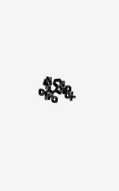 CN1C(=O)C(c2cn(C(=O)OC(C)(C)C)c3ncccc23)=C(n2ccnc2)C1=O